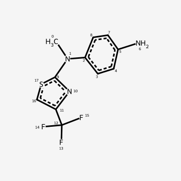 CN(c1ccc(N)cc1)c1nc(C(F)(F)F)cs1